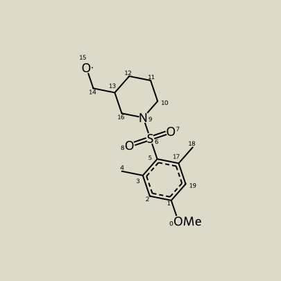 COc1cc(C)c(S(=O)(=O)N2CCCC(C[O])C2)c(C)c1